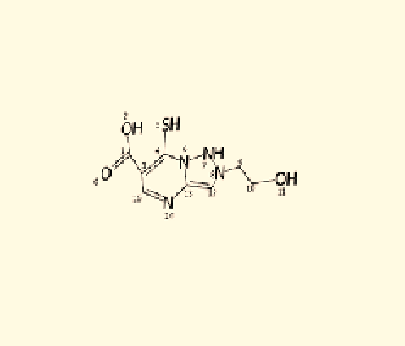 O=C(O)C1=C(S)N2NN(CCO)C=C2N=C1